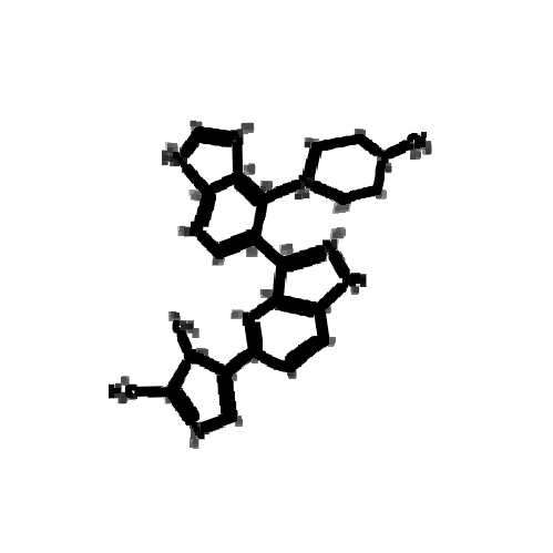 Cc1ncc(-c2ccc3[nH]nc(-c4cnc5[nH]cnc5c4N4CCN(C)CC4)c3n2)n1C